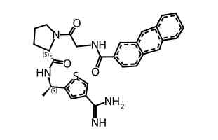 C[C@@H](NC(=O)[C@@H]1CCCN1C(=O)CNC(=O)c1ccc2cc3ccccc3cc2c1)c1cc(C(=N)N)cs1